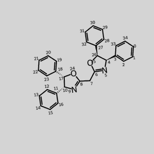 c1ccc([C@H]2N=C(CC3=N[C@H](c4ccccc4)[C@H](c4ccccc4)O3)O[C@H]2c2ccccc2)cc1